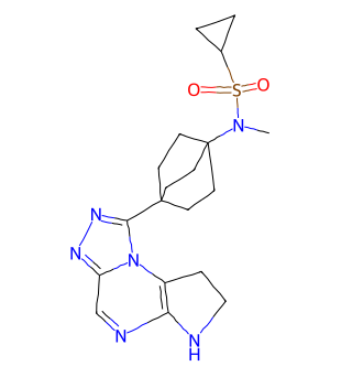 CN(C12CCC(c3nnc4cnc5c(n34)CCN5)(CC1)CC2)S(=O)(=O)C1CC1